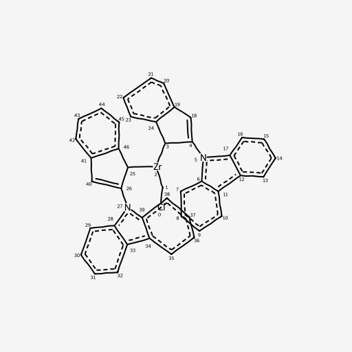 Cl[CH2][Zr]([CH]1C(n2c3ccccc3c3ccccc32)=Cc2ccccc21)[CH]1C(n2c3ccccc3c3ccccc32)=Cc2ccccc21